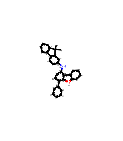 CC1(C)c2ccccc2-c2ccc(Nc3ccc(-c4ccccc4)c4oc5ccccc5c34)cc21